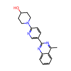 Cc1nc(-c2ccc(N3CCC(O)CC3)nc2)nc2ccccc12